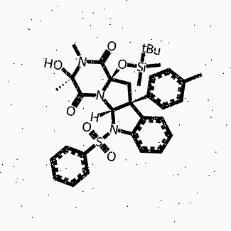 Cc1ccc([C@]23C[C@@]4(O[Si](C)(C)C(C)(C)C)C(=O)N(C)[C@](C)(O)C(=O)N4[C@H]2N(S(=O)(=O)c2ccccc2)c2ccccc23)cc1